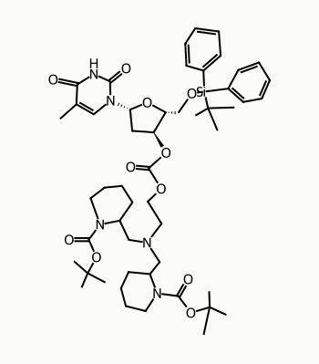 Cc1cn([C@H]2C[C@H](OC(=O)OCCN(CC3CCCCN3C(=O)OC(C)(C)C)CC3CCCCN3C(=O)OC(C)(C)C)[C@@H](CO[Si](c3ccccc3)(c3ccccc3)C(C)(C)C)O2)c(=O)[nH]c1=O